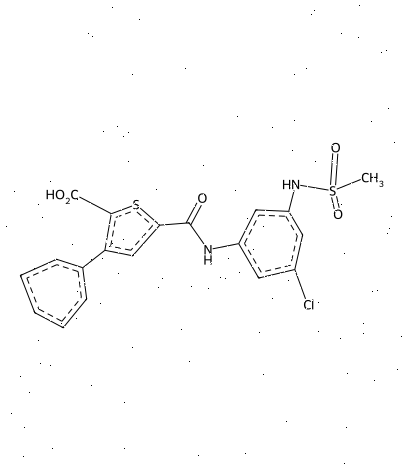 CS(=O)(=O)Nc1cc(Cl)cc(NC(=O)c2cc(-c3ccccc3)c(C(=O)O)s2)c1